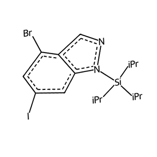 CC(C)[Si](C(C)C)(C(C)C)n1ncc2c(Br)cc(I)cc21